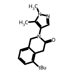 Cc1c(N2Cc3cccc(C(C)(C)C)c3CC2=O)cnn1C